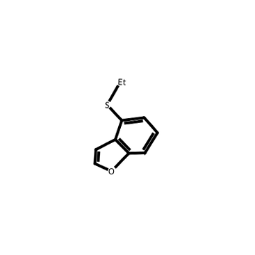 CCSc1cc[c]c2occc12